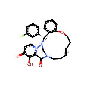 O=C1c2c(O)c(=O)ccn2N2CN1CC/C=C/CCOc1ccccc1[C@H]2c1cccc(F)c1